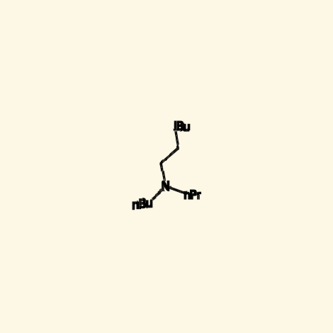 CCCCN(CCC)CCC(C)CC